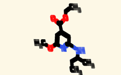 CCOC(=O)c1cc(NC(C)CC)nc(OC)c1